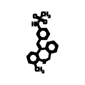 Cc1cccc2c1SCc1ccccc1C2=Cc1cccc(NS(C)(=O)=O)c1